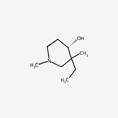 CCC1(C)CN(C)CC[C@@H]1O